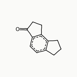 O=C1CCc2c1ccc1c2CCC1